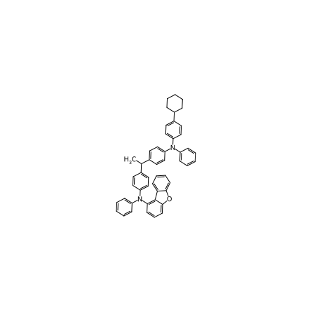 CC(c1ccc(N(c2ccccc2)c2ccc(C3CCCCC3)cc2)cc1)c1ccc(N(c2ccccc2)c2cccc3oc4ccccc4c23)cc1